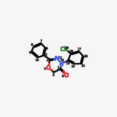 O=C1COC(c2ccccc2)=NN1c1ccccc1Cl